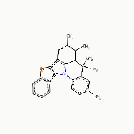 Bc1ccc2c(c1)C(C)(C)C1c3c(c4sc5ccccc5c4n3-2)CC(C)C1C